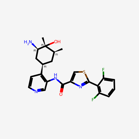 C[C@H]1C[C@@H](c2ccncc2NC(=O)c2csc(-c3c(F)cccc3F)n2)C[C@@H](N)[C@]1(C)O